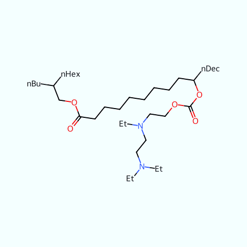 CCCCCCCCCCC(CCCCCCCCC(=O)OCC(CCCC)CCCCCC)OC(=O)OCCN(CC)CCN(CC)CC